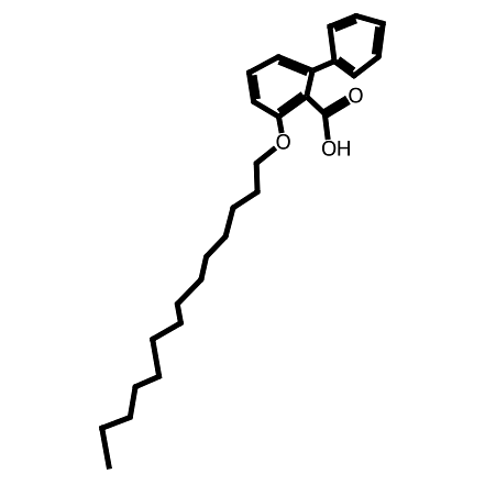 CCCCCCCCCCCCCCOc1cccc(-c2ccccc2)c1C(=O)O